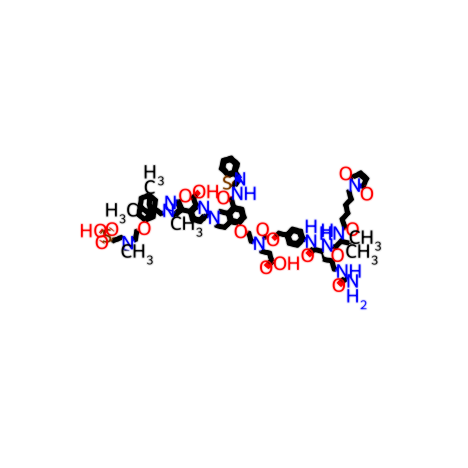 Cc1c(-c2ccc(N3CCc4c(OCCN(CCC(=O)O)C(=O)OCc5ccc(NC(=O)[C@H](CCCNC(N)=O)NC(=O)[C@@H](NC(=O)CCCCCN6C(=O)C=CC6=O)C(C)C)cc5)ccc(C(=O)Nc5nc6ccccc6s5)c4C3)nc2C(=O)O)cnn1CC12CC3(C)CC(C)(C1)CC(OCCN(C)CCS(=O)(=O)O)(C3)C2